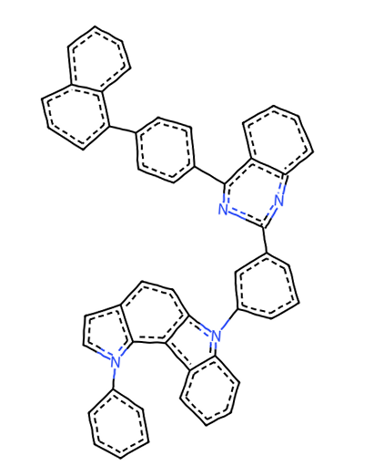 c1ccc(-n2ccc3ccc4c(c5ccccc5n4-c4cccc(-c5nc(-c6ccc(-c7cccc8ccccc78)cc6)c6ccccc6n5)c4)c32)cc1